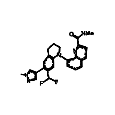 CNC(=O)c1ccc2cccc(N3CCCc4cc(-c5cnn(C)c5)c(C(F)F)cc43)c2n1